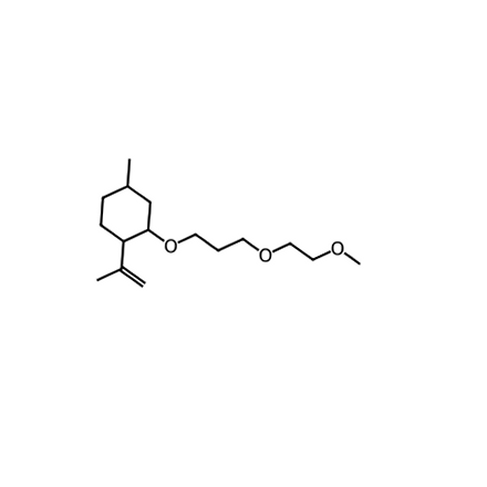 C=C(C)C1CCC(C)CC1OCCCOCCOC